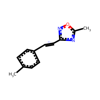 Cc1ccc(/C=C/c2noc(C)n2)cc1